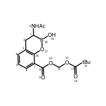 CC(=O)NC1Cc2cccc(C(=O)OCOC(=O)C(C)(C)C)c2OB1O